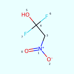 O=[N+]([O-])CC(O)(F)F